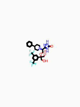 O=c1[nH]nc(C(COC(CO)(CO)c2cc(C(F)(F)F)cc(C(F)(F)F)c2)N2CCC(c3ccccc3)CC2)[nH]1